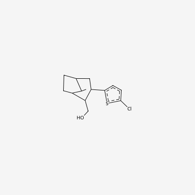 CC1C2CCC1C(CO)C(c1ccc(Cl)s1)C2